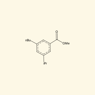 [CH2]C(C)c1cc(CCCC)cc(C(=O)OC)c1